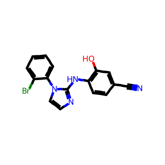 N#Cc1ccc(Nc2nccn2-c2ccccc2Br)c(O)c1